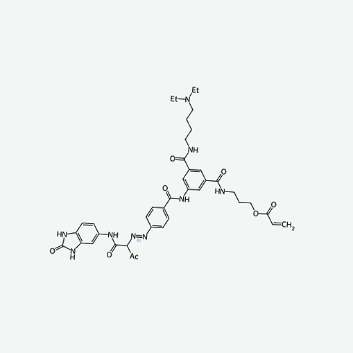 C=CC(=O)OCCCNC(=O)c1cc(NC(=O)c2ccc(/N=N/C(C(C)=O)C(=O)Nc3ccc4[nH]c(=O)[nH]c4c3)cc2)cc(C(=O)NCCCCN(CC)CC)c1